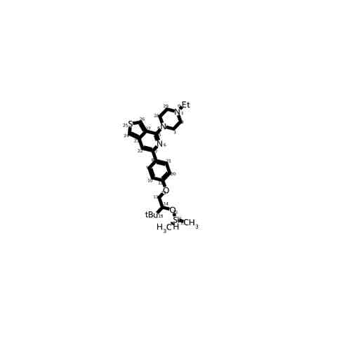 CCN1CCN(c2nc(-c3ccc(OCC(O[SiH](C)C)C(C)(C)C)cc3)cc3cscc23)CC1